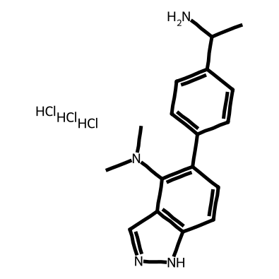 CC(N)c1ccc(-c2ccc3[nH]ncc3c2N(C)C)cc1.Cl.Cl.Cl